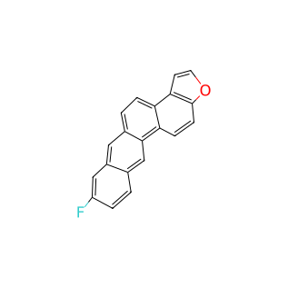 Fc1ccc2cc3c(ccc4c5ccoc5ccc34)cc2c1